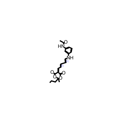 CCCC1(C)OC(=O)C(=C/C=C/C=C/Nc2cccc(NC(C)=O)c2)C(=O)O1